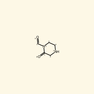 O=[C]N1CCNCC1=O